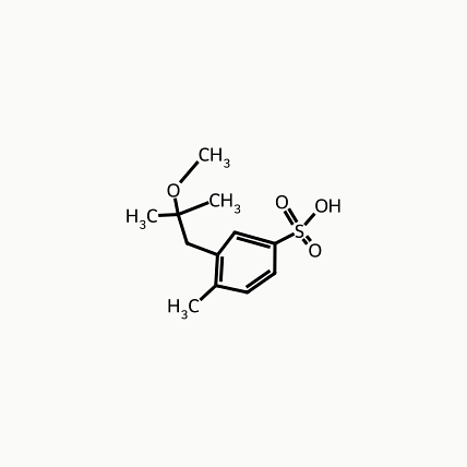 COC(C)(C)Cc1cc(S(=O)(=O)O)ccc1C